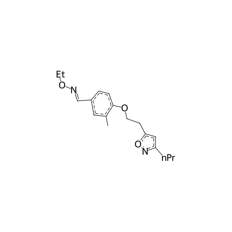 CCCc1cc(CCOc2ccc(C=NOCC)cc2C)on1